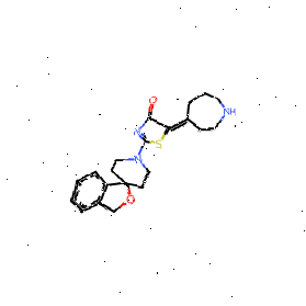 O=C1N=C(N2CCC3(CC2)OCc2ccccc23)S/C1=C1/CCCNCC1